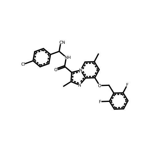 Cc1cc(OCc2c(F)cccc2F)c2nc(C)c(C(=O)NC(C#N)c3ccc(Cl)cc3)n2c1